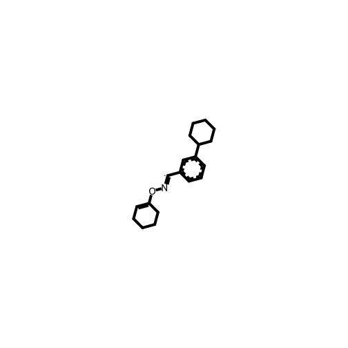 [C](=NOC1=CCCCC1)c1cccc(C2CCCCC2)c1